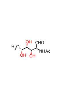 CC(=O)N[C@H](C=O)[C@@H](O)[C@H](O)[C@@H](C)O